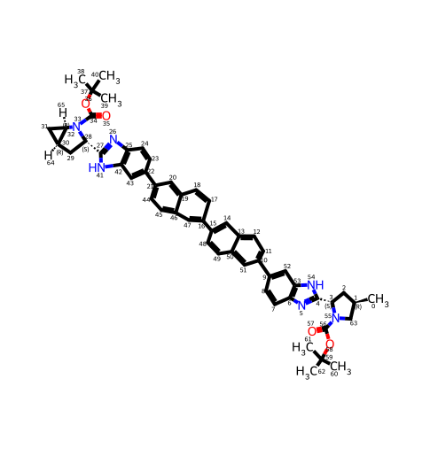 C[C@@H]1C[C@@H](c2nc3ccc(-c4ccc5cc(-c6ccc7cc(-c8ccc9nc([C@@H]%10C[C@H]%11C[C@H]%11N%10C(=O)OC(C)(C)C)[nH]c9c8)ccc7c6)ccc5c4)cc3[nH]2)N(C(=O)OC(C)(C)C)C1